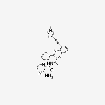 CC(NC(=O)c1nccnc1N)c1nc2cccc(C#Cc3cnn(C)c3)c2nc1-c1ccccc1